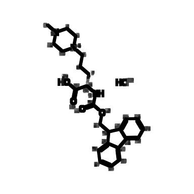 CN1CCN(CCC[C@H](NC(=O)OCC2c3ccccc3-c3ccccc32)C(=O)O)CC1.Cl